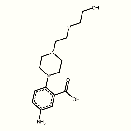 Nc1ccc(N2CCN(CCOCCO)CC2)c(C(=O)O)c1